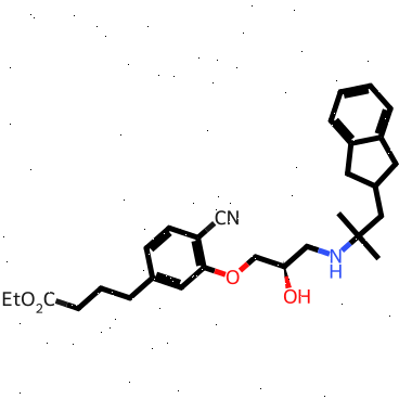 CCOC(=O)CCCc1ccc(C#N)c(OC[C@H](O)CNC(C)(C)CC2Cc3ccccc3C2)c1